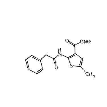 COC(=O)c1cc(C)sc1NC(=O)Cc1ccccc1